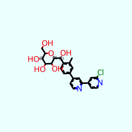 Cc1cc(-c2ccnc(-c3ccnc(Cl)c3)c2)ccc1[C@@H](O)[C@H]1OC(CO)[C@@H](O)C(O)C1O